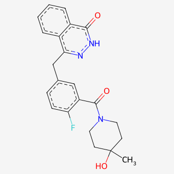 CC1(O)CCN(C(=O)c2cc(Cc3n[nH]c(=O)c4ccccc34)ccc2F)CC1